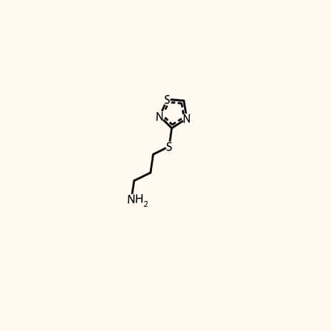 NCCCSc1ncsn1